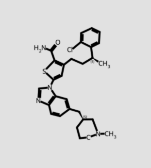 C[C@@H](CCc1cc(-n2cnc3ccc(C[C@@H]4CCCN(C)C4)cc32)sc1C(N)=O)c1ccccc1Cl